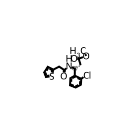 COC(=O)C[C@@H](NC(=O)Cc1cccs1)c1ccccc1Cl